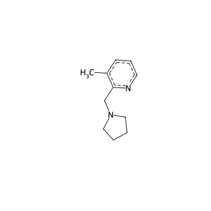 Cc1cccnc1CN1CCCC1